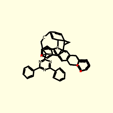 C1=CC23CC2CC2=CC=C(CCC1=CC3n1c3ccccc3c3cc4c(cc31)C1c3ccccc3C4c3ccccc31)[C@@H](c1nc(-c3ccccc3)nc(-c3ccccc3)n1)C2